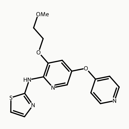 COCCOc1cc(Oc2ccncc2)cnc1Nc1nccs1